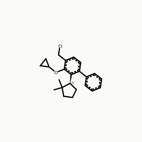 CC1(C)CCC[C@@H]1c1c(-c2ccccc2)ccc(CCl)c1OC1CC1